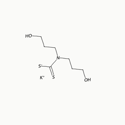 OCCCN(CCCO)C(=S)[S-].[K+]